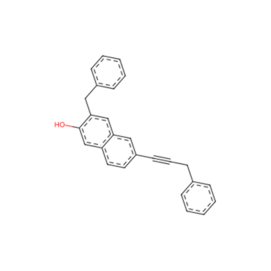 Oc1cc2ccc(C#CCc3ccccc3)cc2cc1Cc1ccccc1